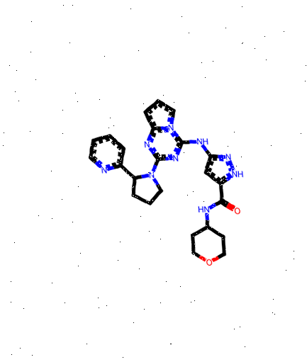 O=C(NC1CCOCC1)c1cc(Nc2nc(N3CCCC3c3ccccn3)nc3cccn23)n[nH]1